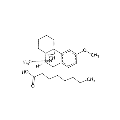 CCCCCCCC(=O)O.COc1ccc2c(c1)[C@]13CCCC[C@@H]1[C@H](C2)N(C)CC3